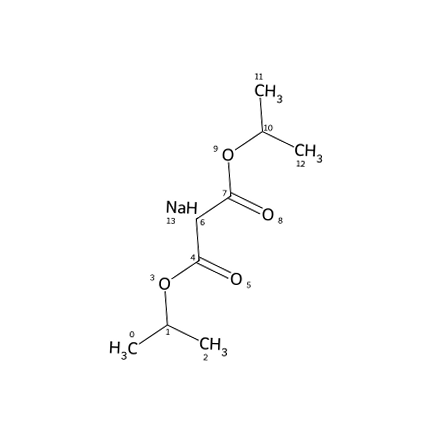 CC(C)OC(=O)CC(=O)OC(C)C.[NaH]